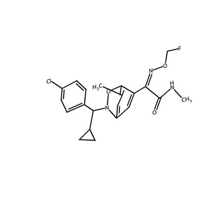 CNC(=O)C(=NOCF)c1cc2cc(C)c1ON2C(c1ccc(Cl)cc1)C1CC1